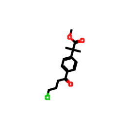 COC(=O)C(C)(C)c1ccc(C(=O)CCCCl)cc1